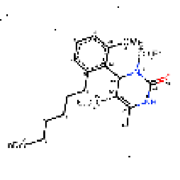 CCCCCCCCCCCCCCCc1cccc(OC)c1C1C(C(=O)OCC)=C(C)NC(=O)N1C(=O)OCC